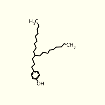 CCCCCCCCCC(CCCCCCCCC)CCCc1ccc(O)cc1